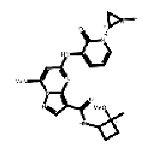 CNc1cc(Nc2cccn([C@@H]3C[C@H]3F)c2=O)nc2c(C(=O)NC3CC[C@]3(C)OC)cnn12